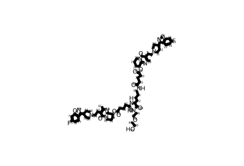 Cc1nc2n(c(=O)c1CCN1CCC(c3noc4cc(F)ccc34)CC1)CCCC2OC(=O)CCCC(=O)NCCCCC(NC(=O)CCCC(=O)OC1CCCn2c1nc(C)c(CCN1CCC(c3noc4cc(F)ccc34)CC1)c2=O)C(=O)NCCOCCO